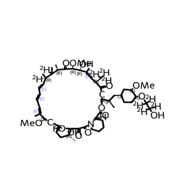 [2H]C([2H])([2H])[C@@H]1/C=C(\C)[C@@H](O)[C@@H](OC)C(=O)[C@H](C)C([2H])(C)[C@]([2H])(C)/C=C/C=C/C=C(\C)[C@@H](OC)C[C@@H]2CC[C@@H](C)[C@@](O)(O2)C(=O)C(=O)N2CCCC[C@H]2C(=O)O[C@H]([C@H](C)C[C@@H]2CC[C@@H](OC([2H])([2H])C([2H])([2H])O)[C@H](OC)C2)CC1=O